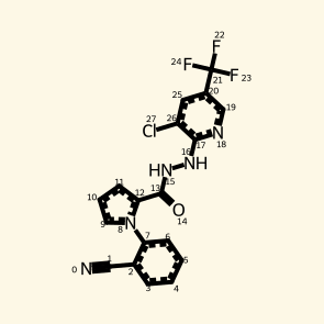 N#Cc1ccccc1-n1cccc1C(=O)NNc1ncc(C(F)(F)F)cc1Cl